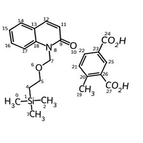 C[Si](C)(C)CCOCn1c(=O)ccc2ccccc21.Cc1ccc(C(=O)O)cc1C(=O)O